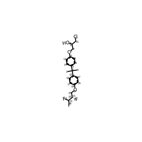 CC(C)(c1ccc(OCC(O)CCl)cc1)c1ccc(OC[C@H](F)C(F)F)cc1